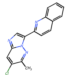 Cc1nn2c(-c3ccc4ccccc4n3)cnc2cc1Cl